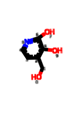 OCc1ccnc(O)c1O